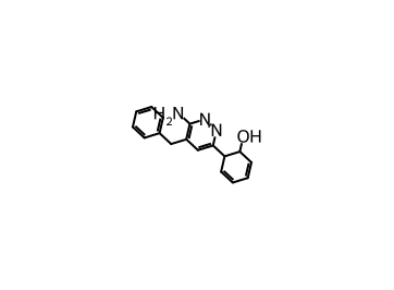 Nc1nnc(C2C=CC=CC2O)cc1Cc1ccccc1